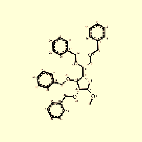 CO[C@H]1O[C@@H]([C@@H](COCc2ccccc2)OCc2ccccc2)[C@H](OCc2ccccc2)[C@H]1OCc1ccccc1